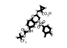 Cc1cc(S(=O)(=O)N2C[C@H](CC3(C(=O)O)CC3)Oc3ccc(NC(=O)OC(C)(C)C(F)(F)F)cc32)ccc1F